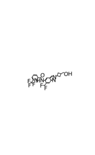 O=C(Nc1cc2cn(C3CC(CO)C3)nc2cc1C(F)F)c1cccc(C(F)(F)F)n1